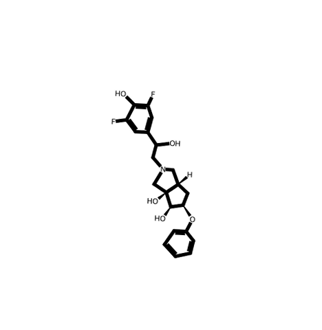 Oc1c(F)cc(C(O)CN2C[C@@H]3C[C@@H](Oc4ccccc4)[C@@H](O)[C@]3(O)C2)cc1F